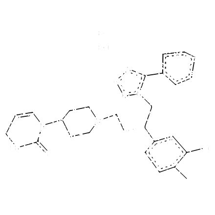 Cl.Cl.O=C1NCC=CN1C1CCN(CC[C@H](Cn2nnnc2-c2ccccc2)c2ccc(Cl)c(Cl)c2)CC1